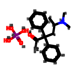 CCC(=O)C(CC(C)N(C)C)(c1ccccc1)c1ccccc1.O=P(O)(O)O